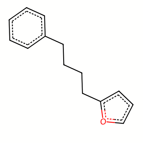 c1ccc(CCCCc2ccco2)cc1